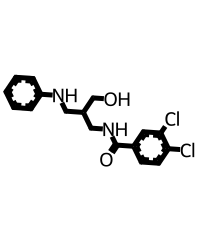 O=C(NCC(CO)CNc1ccccc1)c1ccc(Cl)c(Cl)c1